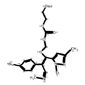 CCn1nc(C)cc1/C(OCOC(=O)OCCOC)=C(\C=N/C)c1ccc(C(C)(C)C)cc1